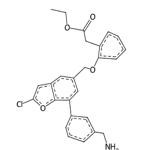 CCOC(=O)Cc1ccccc1OCc1cc(-c2cccc(CN)c2)c2oc(Cl)cc2c1